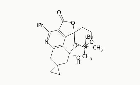 CC(C)c1nc2c(c3c1C(=O)OC31CCOCC1)[C@@](O)(O[Si](C)(C)C(C)(C)C)CC1(CC1)C2